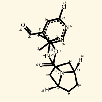 CC(C)(C)OC(=O)N1[C@@H]2CC[C@H]1CC(Nc1nnc(Cl)cc1C=O)C2